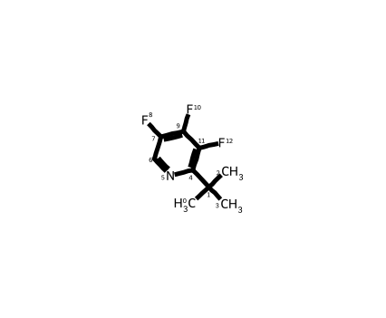 CC(C)(C)c1ncc(F)c(F)c1F